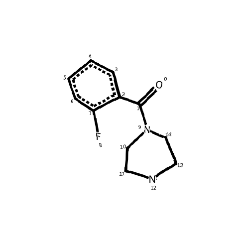 O=C(c1ccccc1F)N1CC[N]CC1